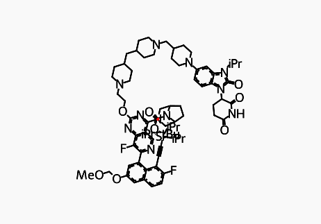 COCOc1cc(-c2ncc3c(N4CC5CCC(C4)N5C(=O)OC(C)(C)C)nc(OCCN4CCC(CC5CCN(CC6CCN(c7ccc8c(c7)n(C(C)C)c(=O)n8C7CCC(=O)NC7=O)CC6)CC5)CC4)nc3c2F)c2c(C#C[Si](C(C)C)(C(C)C)C(C)C)c(F)ccc2c1